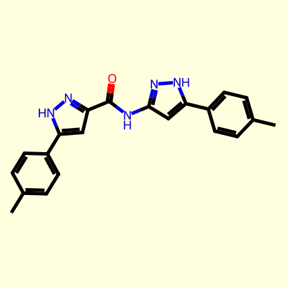 Cc1ccc(-c2cc(NC(=O)c3cc(-c4ccc(C)cc4)[nH]n3)n[nH]2)cc1